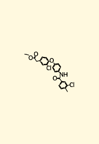 CCOC(=O)Cc1ccc(Oc2ccc(NC(=O)c3ccc(C)c(Cl)c3)cc2)c(Cl)c1